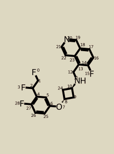 FCC(F)c1cc(O[C@H]2C[C@H](NCc3c(F)ccc4cnccc34)C2)ccc1F